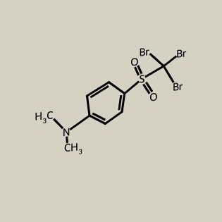 CN(C)c1ccc(S(=O)(=O)C(Br)(Br)Br)cc1